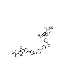 CC1(C)CC2(CCN(C(=O)c3ccc(N4CCN(CC5CCN(c6ccc7c(c6)C(=O)N(C6CCC(=O)NC6=O)C7=O)CC5)CC4)cc3)CC2)CN1c1ccc(C#N)c(Cl)c1